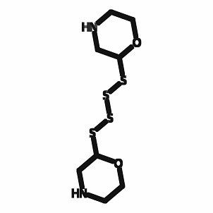 C1COC(SSSSC2CNCCO2)CN1